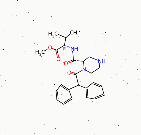 COC(=O)[C@@H](NC(=O)C1CNCCN1C(=O)C(c1ccccc1)c1ccccc1)C(C)C